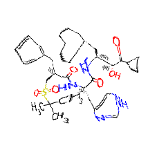 CC(C)(C)S(=O)(=O)C[C@@H](Cc1ccccc1)C(=O)N[C@@H](Cc1c[nH]cn1)C(=O)N[C@@H](CC1CCCCC1)[C@@H](O)C(=O)C1CC1